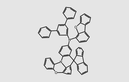 c1ccc(-c2cc(-c3ccccc3)cc(N(c3ccc4c(c3)C3(c5ccccc5-c5ccccc53)c3cccc5c3N4c3ccccc3O5)c3cccc4c3oc3ccccc34)c2)cc1